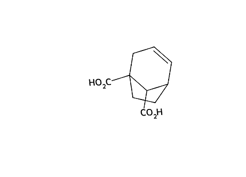 O=C(O)C1C2C=CCC1(C(=O)O)CC2